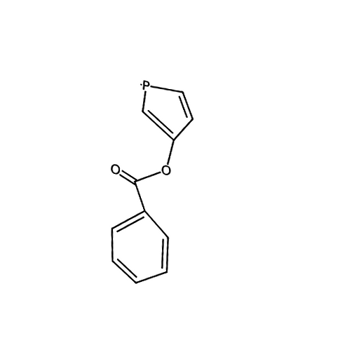 O=C(OC1=C[P]C=C1)c1ccccc1